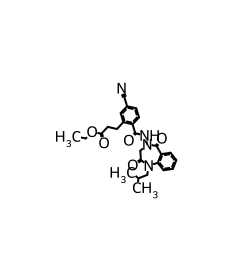 CCOC(=O)CCc1cc(C#N)ccc1C(=O)NN1CC(=O)N(CC(C)C)c2ccccc2C1=O